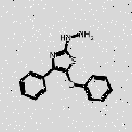 NNc1nc(-c2ccccc2)c(Oc2ccccc2)s1